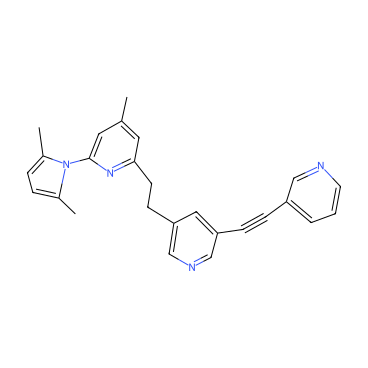 Cc1cc(CCc2cncc(C#Cc3cccnc3)c2)nc(-n2c(C)ccc2C)c1